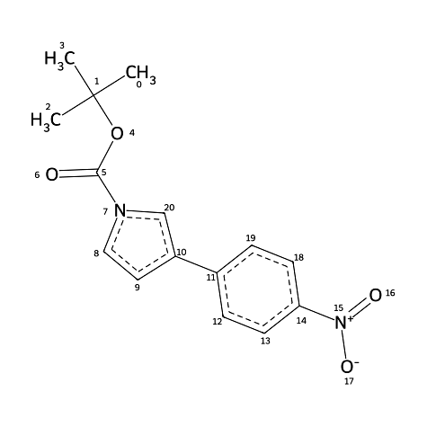 CC(C)(C)OC(=O)n1ccc(-c2ccc([N+](=O)[O-])cc2)c1